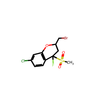 CS(=O)(=O)C1(F)CC(CBr)Oc2cc(Cl)ccc21